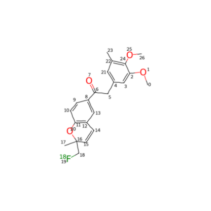 COc1cc(CC(=O)c2ccc3c(c2)C=CC(C)(C[18F])O3)cc(C)c1OC